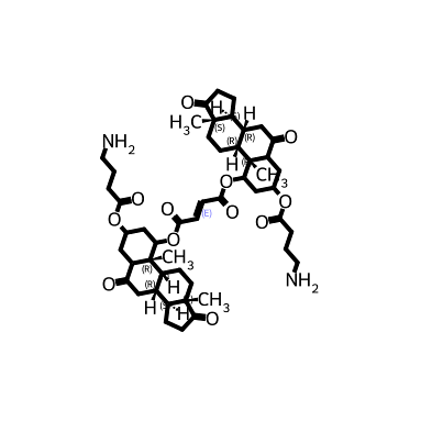 C[C@]12C(OC(=O)/C=C/C(=O)OC3CC(OC(=O)CCCN)CC4C(=O)C[C@@H]5[C@@H](CC[C@]6(C)C(=O)CC[C@@H]56)[C@@]34C)CC(OC(=O)CCCN)CC1C(=O)C[C@@H]1[C@H]2CC[C@]2(C)C(=O)CC[C@@H]12